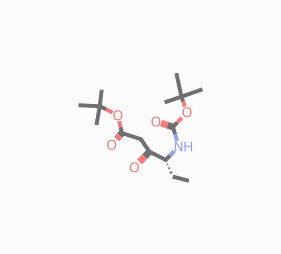 CC[C@@H](NC(=O)OC(C)(C)C)C(=O)CC(=O)OC(C)(C)C